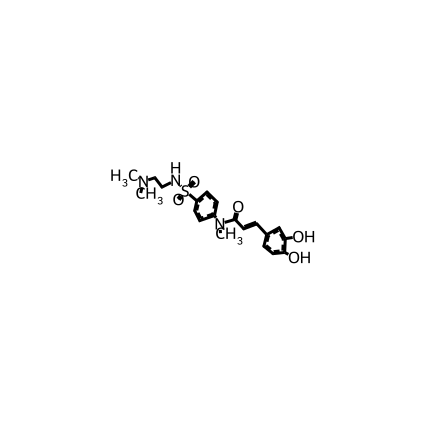 CN(C)CCNS(=O)(=O)c1ccc(N(C)C(=O)C=Cc2ccc(O)c(O)c2)cc1